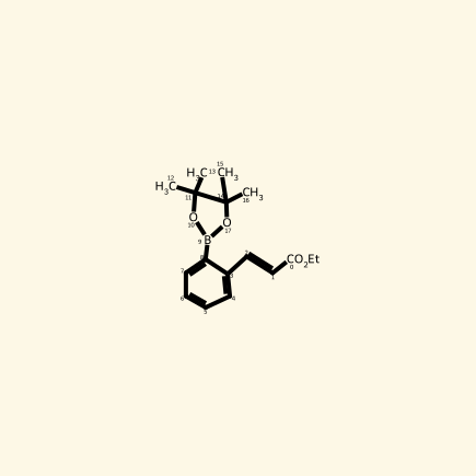 CCOC(=O)C=Cc1ccccc1B1OC(C)(C)C(C)(C)O1